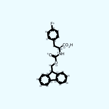 O=C(N[C@@H](Cc1ccc(F)cc1)C(=O)O)OCC1c2ccccc2-c2ccccc21